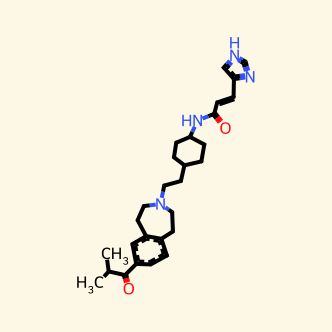 CC(C)C(=O)c1ccc2c(c1)CCN(CCC1CCC(NC(=O)C=Cc3c[nH]cn3)CC1)CC2